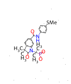 CSc1ccc(NC(=O)c2ccc3c(c2)N(C(C)(C)P(=O)=O)C(=O)C3(C)C)cc1